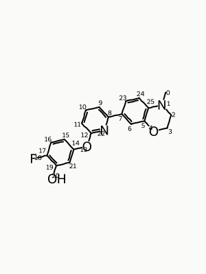 CN1CCOc2cc(-c3cccc(Oc4ccc(F)c(O)c4)n3)ccc21